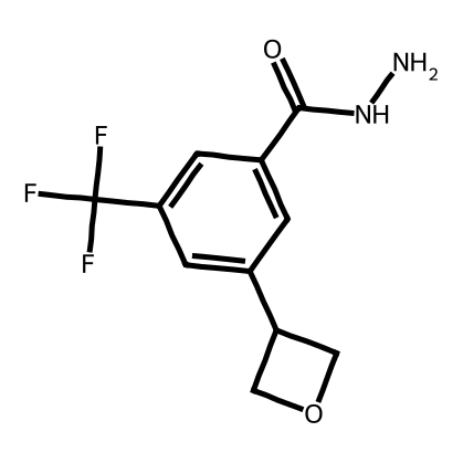 NNC(=O)c1cc(C2COC2)cc(C(F)(F)F)c1